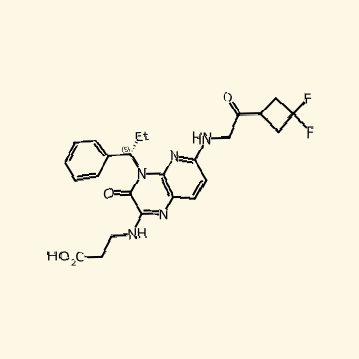 CC[C@@H](c1ccccc1)n1c(=O)c(NCCC(=O)O)nc2ccc(NCC(=O)C3CC(F)(F)C3)nc21